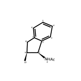 CC(=O)N[C@@H]1c2ccccc2C[C@@H]1C